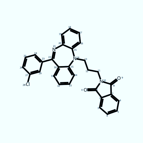 O=C1c2ccccc2C(=O)N1CCCN1c2ccccc2N=C(c2cccc(Cl)c2)c2ccccc21